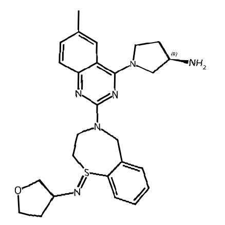 Cc1ccc2nc(N3CCS(=NC4CCOC4)c4ccccc4C3)nc(N3CC[C@@H](N)C3)c2c1